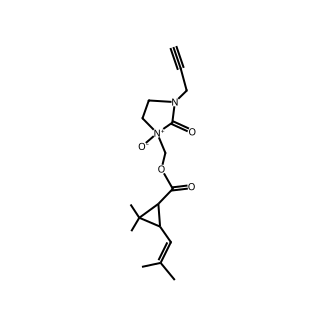 C#CCN1CC[N+]([O-])(COC(=O)C2C(C=C(C)C)C2(C)C)C1=O